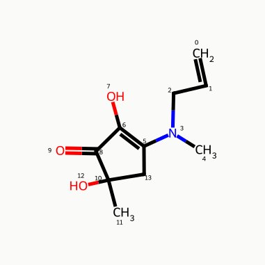 C=CCN(C)C1=C(O)C(=O)C(C)(O)C1